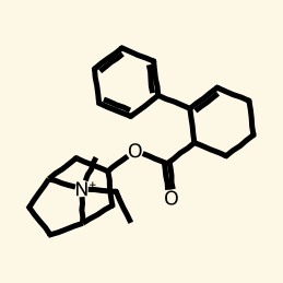 CC[N+]1(C)C2CCC1CC(OC(=O)C1CCCC=C1c1ccccc1)C2